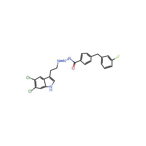 O=C(N=[N+]=NCCc1c[nH]c2cc(Cl)c(Cl)cc12)c1ccc(Cc2cccc(F)c2)cc1